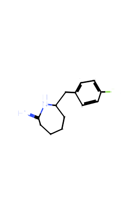 N=C1CCCCC(Cc2ccc(F)cc2)N1